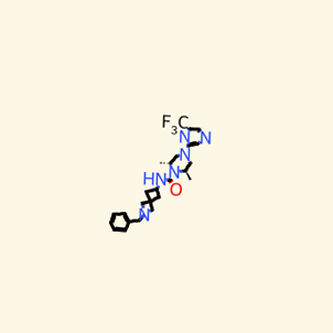 C[C@@H]1CN(c2cncc(C(F)(F)F)n2)C[C@@H](C)N1C(=O)NC1CC2(C1)CN(Cc1ccccc1)C2